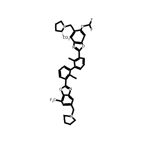 Cc1c(-c2nc3cc(CN4CCC[C@H]4C(=O)O)c(OC(F)F)cc3o2)cccc1-c1cccc(-c2nc3cc(CN4CCCC4)cc(C(F)(F)F)c3o2)c1C